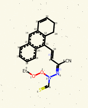 CCOON(C=S)/N=C(C#N)\C=C\c1c2c(cc3ccccc13)C=CCC2